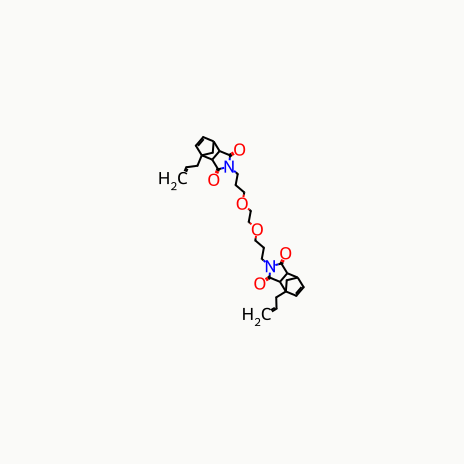 C=CCC12C=CC(C1)C1C(=O)N(CCCOCCOCCCN3C(=O)C4C5C=CC(CC=C)(C5)C4C3=O)C(=O)C12